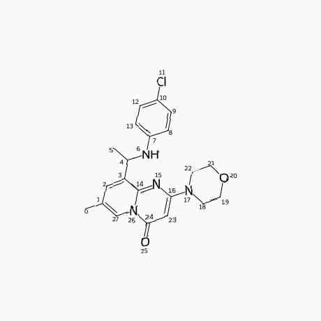 Cc1cc(C(C)Nc2ccc(Cl)cc2)c2nc(N3CCOCC3)cc(=O)n2c1